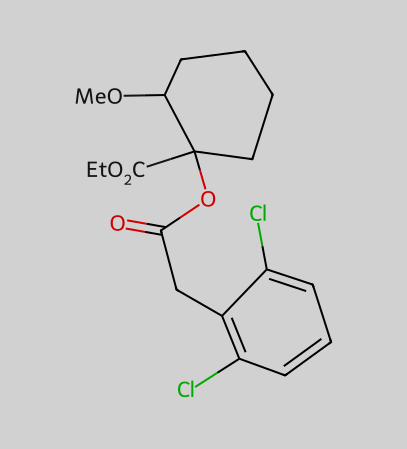 CCOC(=O)C1(OC(=O)Cc2c(Cl)cccc2Cl)CCCCC1OC